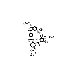 CCc1cc(C(=O)N[C@@H]2CN(OC(=O)OC(C)(C)C)CCC[C@H]2OC(=O)c2ccc(C(=O)c3cc(N(C)C)ccc3OCOC)cc2)cc(CC)c1OCOC